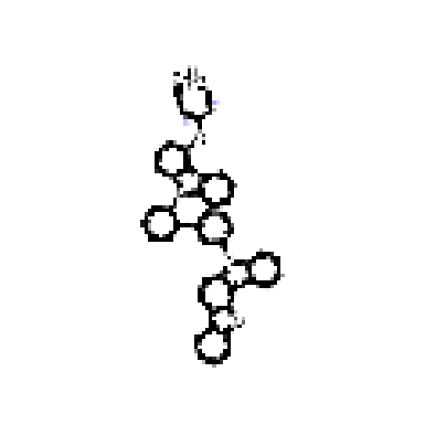 C#C/C=C(\C=C/C)Oc1cccc2c1c1ccccc1n2-c1ccccc1-c1cccc(-n2c3ccccc3c3c4oc5ccccc5c4ccc32)c1